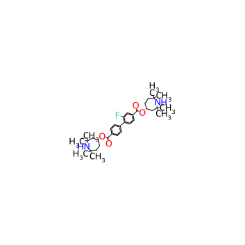 CC1(C)CCC(OC(=O)c2ccc(-c3ccc(C(=O)OC4CCC(C)(C)NC(C)(C)C4)cc3F)cc2)CC(C)(C)N1